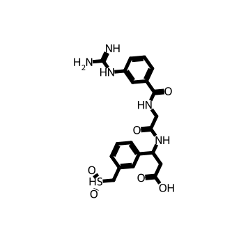 N=C(N)Nc1cccc(C(=O)NCC(=O)NC(CC(=O)O)c2cccc(C[SH](=O)=O)c2)c1